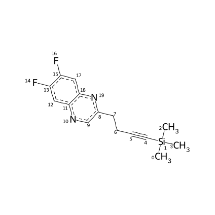 C[Si](C)(C)C#CCCc1cnc2cc(F)c(F)cc2n1